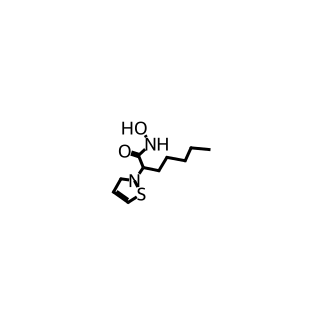 CCCCCC(C(=O)NO)N1CC=CS1